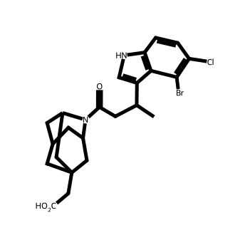 CC(CC(=O)N1C2CC3CC1CC(CC(=O)O)(C3)C2)c1c[nH]c2ccc(Cl)c(Br)c12